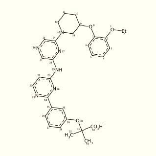 CCOc1ccccc1OC1CCCN(c2cncc(Nc3ccnc(-c4cccc(OC(C)(C)C(=O)O)c4)n3)n2)C1